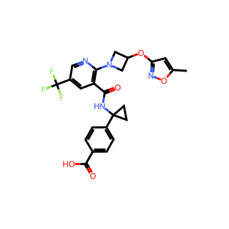 Cc1cc(OC2CN(c3ncc(C(F)(F)F)cc3C(=O)NC3(c4ccc(C(=O)O)cc4)CC3)C2)no1